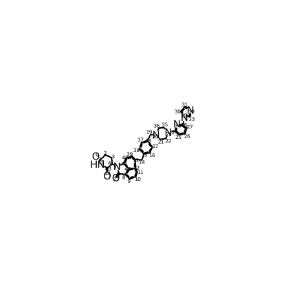 O=C1CCC(N2C(=O)c3cccc4c(Cc5ccc(CN6CCN(c7cccc(-n8ccnc8)n7)CC6)cc5)ccc2c34)C(=O)N1